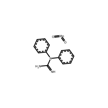 N=C(N)N(c1ccccc1)c1ccccc1.[O]=[Mn]=[O]